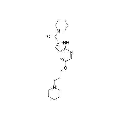 O=C(c1cc2cc(OCCCN3CCCCC3)cnc2[nH]1)N1CCCCC1